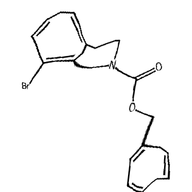 O=C(OCc1ccccc1)N1Cc2cccc(Br)c2C1